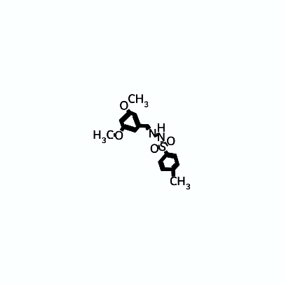 COc1cc(C=NNS(=O)(=O)c2ccc(C)cc2)cc(OC)c1